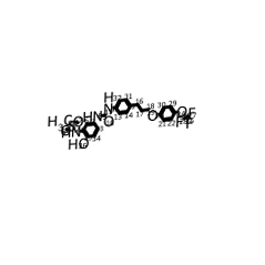 CS(=O)(=O)Nc1cc(NC(=O)Nc2ccc(CCCOc3ccc(OC(F)(F)F)cc3)cc2)ccc1O